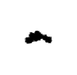 CC[C@H](C)[C@@H]([C@@H](CC(=O)N1CCC[C@H]1[C@H](OC)[C@@H](C)C(=O)N[C@@H](CC(=O)NCc1ccc(NC(=O)OC(C)(C)C)cc1)Cc1ccccc1)OC)N(C)C(=O)[C@@H](NC(=O)[C@H](C(C)C)N(C)C)C(C)C